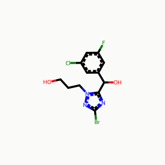 OCCCn1nc(Br)nc1C(O)c1cc(F)cc(Cl)c1